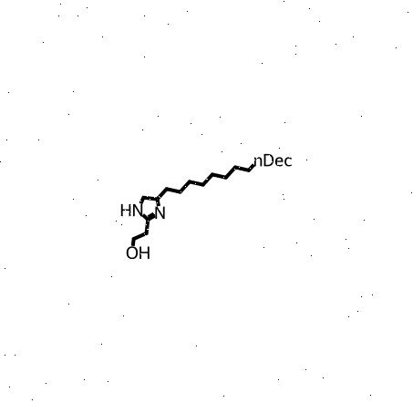 CCCCCCCCCCCCCCCCCCC1CNC(CCO)=N1